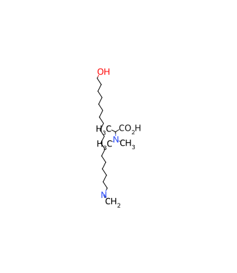 C=NCCCCCCCCCCCCCCCCCCO.CC(C(=O)O)N(C)C